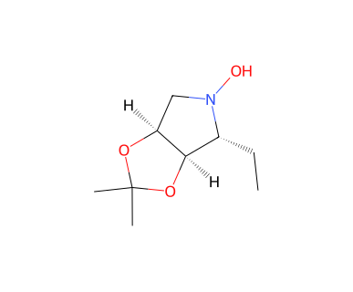 CC[C@@H]1[C@H]2OC(C)(C)O[C@H]2CN1O